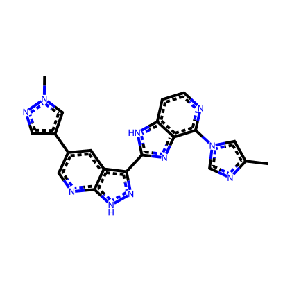 Cc1cn(-c2nccc3[nH]c(-c4n[nH]c5ncc(-c6cnn(C)c6)cc45)nc23)cn1